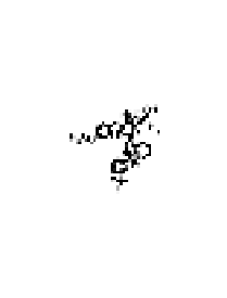 COc1ccc(C[C@H](NC(=O)O[C@H]2CCCCN2S(=O)(=O)c2cccc(C(F)(F)F)c2)C(=O)NC(C)(C)CO)cc1